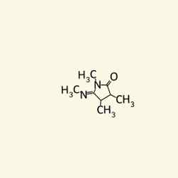 C/N=C1/C(C)C(C)C(=O)N1C